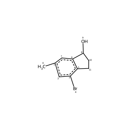 Cc1cc(Br)c2c(c1)C(O)CC2